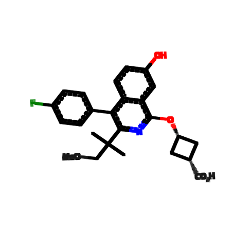 COCC(C)(C)c1nc(O[C@H]2C[C@@H](C(=O)O)C2)c2cc(O)ccc2c1-c1ccc(F)cc1